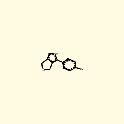 Brc1ccc(-c2[nH]cc3c2COC3)cc1